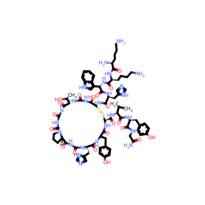 CC(C)[C@H](NC(=O)[C@H]1NC(=O)C(Cc2ccc(O)cc2)NC(=O)[C@H](Cc2cnc[nH]2)NC(=O)NC(=O)[C@@H]2CCCN2C(=O)NC(=O)NC(=O)[C@@H]([C@@H](C)O)NC(=O)NC(O)[C@@H](NC(=O)[C@H](Cc2cnc[nH]2)NC(=O)[C@@H](NC(=O)[C@H](CCCCN)NC(=O)[C@@H](N)CCCCN)c2c[nH]c3ccccc23)SS1)C(=O)N[C@@H](Cc1ccc(O)cc1)C(=O)NCC(N)=O